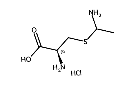 CC(N)SC[C@@H](N)C(=O)O.Cl